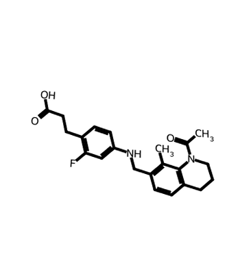 CC(=O)N1CCCc2ccc(CNc3ccc(CCC(=O)O)c(F)c3)c(C)c21